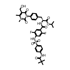 Cc1c(CO)c(=O)n(-c2ccc(C[C@H](NC(=O)c3cc(F)c(NS(=O)(=O)c4ccc(NC(=O)C(C)(C)C)cc4)cc3F)C(=O)OC(C)C)cc2)c(=O)n1C